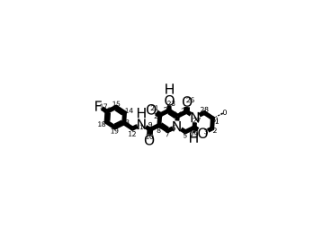 C[C@@H]1CO[C@H]2Cn3cc(C(=O)NCc4ccc(F)cc4)c(=O)c(O)c3C(=O)N2C1